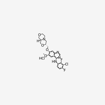 COc1cc2c(Nc3ccc(F)c(Cl)c3F)ncnc2cc1OC[C@H]1CN2CCOC[C@H]2CO1.Cl